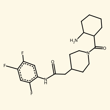 NC1CCCCC1C(=O)N1CCC(CC(=O)Nc2cc(F)c(F)cc2F)CC1